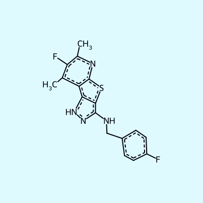 Cc1nc2sc3c(NCc4ccc(F)cc4)n[nH]c3c2c(C)c1F